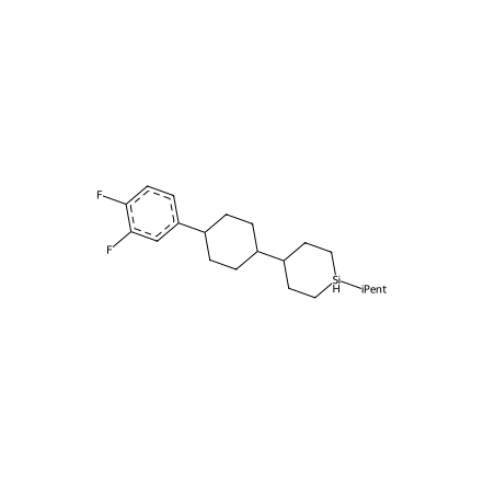 CCCC(C)[SiH]1CCC(C2CCC(c3ccc(F)c(F)c3)CC2)CC1